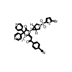 CN1C(=CC(=O)c2ccc(C#N)cc2)N([C@H]2[C@@H]3CN(S(=O)(=O)c4ccc(Br)s4)C[C@@H]32)C(=O)C1(c1ccncc1)c1ccncc1